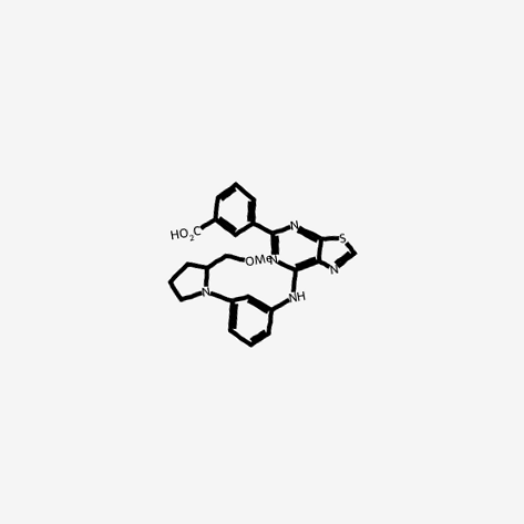 COCC1CCCN1c1cccc(Nc2nc(-c3cccc(C(=O)O)c3)nc3scnc23)c1